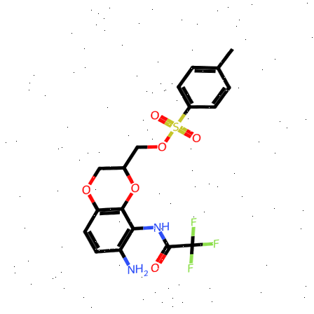 Cc1ccc(S(=O)(=O)OCC2COc3ccc(N)c(NC(=O)C(F)(F)F)c3O2)cc1